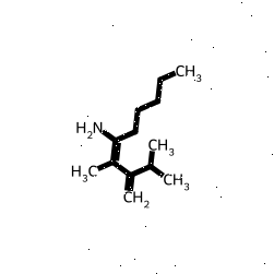 C=C(/C(C)=C(/N)CCCCC)C(C)C